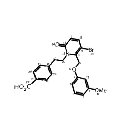 COc1cccc(OCc2c(Br)ccc(=O)n2CCc2ccc(C(=O)O)cc2)c1